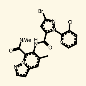 CNC(=O)c1c(NC(=O)c2cc(Br)nn2-c2ncccc2Cl)c(C)cc2ccnn12